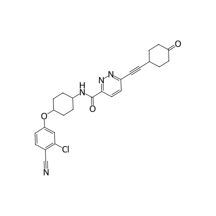 N#Cc1ccc(OC2CCC(NC(=O)c3ccc(C#CC4CCC(=O)CC4)nn3)CC2)cc1Cl